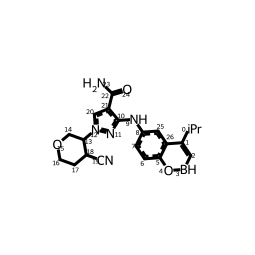 CC(C)C1=CBOc2ccc(Nc3nn(C4COCCC4C#N)cc3C(N)=O)cc21